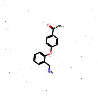 CNC(=O)c1ccc(Oc2ccccc2CN)cc1